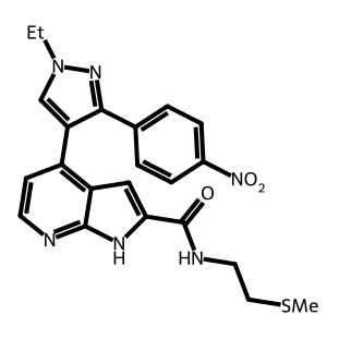 CCn1cc(-c2ccnc3[nH]c(C(=O)NCCSC)cc23)c(-c2ccc([N+](=O)[O-])cc2)n1